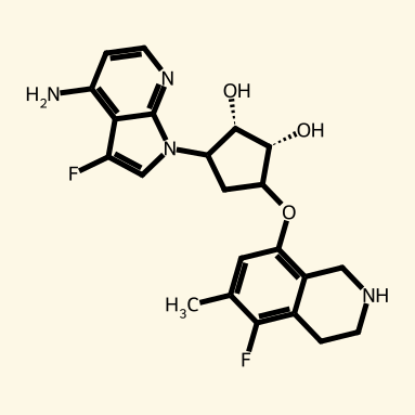 Cc1cc(OC2CC(n3cc(F)c4c(N)ccnc43)[C@H](O)[C@@H]2O)c2c(c1F)CCNC2